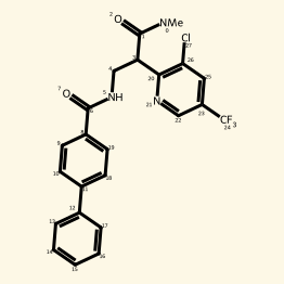 CNC(=O)C(CNC(=O)c1ccc(-c2ccccc2)cc1)c1ncc(C(F)(F)F)cc1Cl